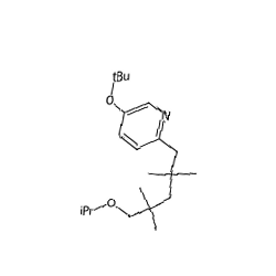 CC(C)OCC(C)(C)CC(C)(C)Cc1ccc(OC(C)(C)C)cn1